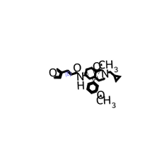 COc1cccc([C@@]23CCN(CC4CC4)C[C@@]2(OC)CC[C@H](NC(=O)/C=C/c2ccoc2)C3)c1